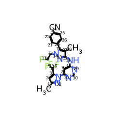 Cc1cc(C(F)F)n(-c2cc(Nc3nn(CC(F)F)c(-c4ccc(C#N)cc4)c3C)ncn2)n1